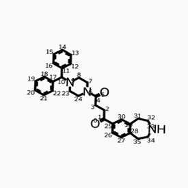 O=C(CCC(=O)N1CCN(C(c2ccccc2)c2ccccc2)CC1)c1ccc2c(c1)CCNCC2